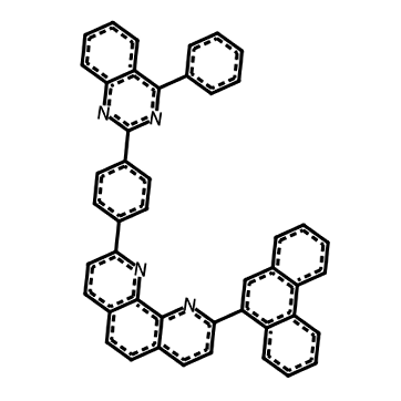 c1ccc(-c2nc(-c3ccc(-c4ccc5ccc6ccc(-c7cc8ccccc8c8ccccc78)nc6c5n4)cc3)nc3ccccc23)cc1